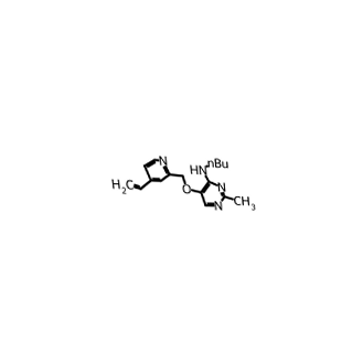 C=Cc1ccnc(COc2cnc(C)nc2NCCCC)c1